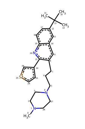 CN1CCN(CCCc2cc3cc(C(C)(C)C)ccc3nc2-c2ccsc2)CC1